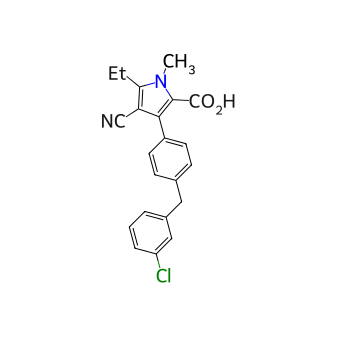 CCc1c(C#N)c(-c2ccc(Cc3cccc(Cl)c3)cc2)c(C(=O)O)n1C